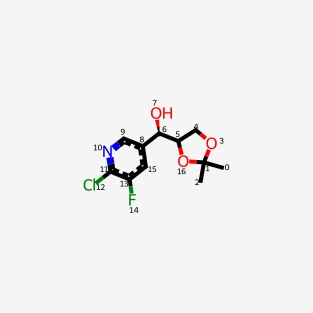 CC1(C)OCC([C@H](O)c2cnc(Cl)c(F)c2)O1